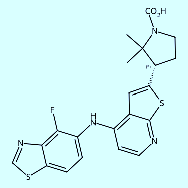 CC1(C)[C@@H](c2cc3c(Nc4ccc5scnc5c4F)ccnc3s2)CCN1C(=O)O